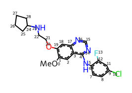 COc1cc2c(Nc3ccc(Cl)cc3F)ncnc2cc1OCCNC1CCCC1